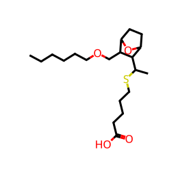 CCCCCCOCC1C2CCC(O2)C1C(C)SCCCCC(=O)O